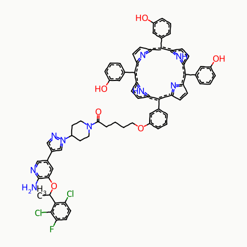 CC(Oc1cc(-c2cnn(C3CCN(C(=O)CCCCOc4cccc(-c5c6nc(c(-c7cccc(O)c7)c7ccc([nH]7)c(-c7cccc(O)c7)c7nc(c(-c8cccc(O)c8)c8ccc5[nH]8)C=C7)C=C6)c4)CC3)c2)cnc1N)c1c(Cl)ccc(F)c1Cl